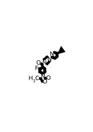 CC1COC(=O)N1c1ccc(C(=O)N2CCN(c3ccc(C4CC4)cn3)CC2)c(F)c1